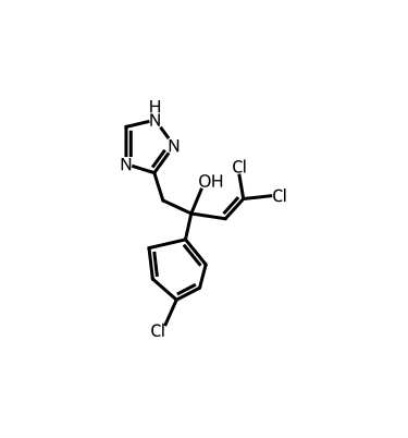 OC(C=C(Cl)Cl)(Cc1nc[nH]n1)c1ccc(Cl)cc1